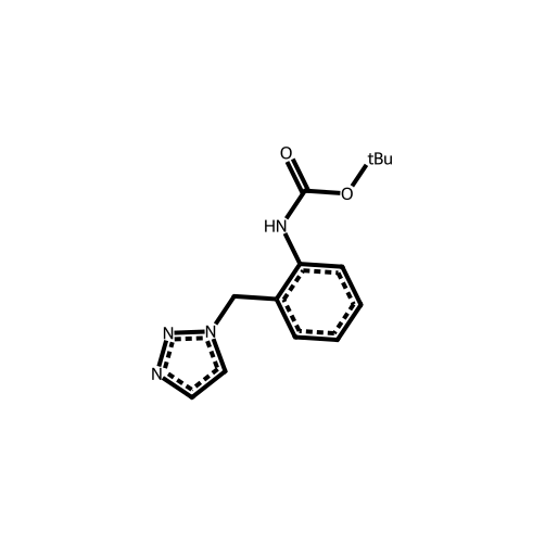 CC(C)(C)OC(=O)Nc1ccccc1Cn1ccnn1